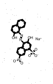 O=[N+]([O-])c1ccc2c(N=Nc3c(O)ccc4ccccc34)c(O)cc(S(=O)(=O)[O-])c2c1.[Na+]